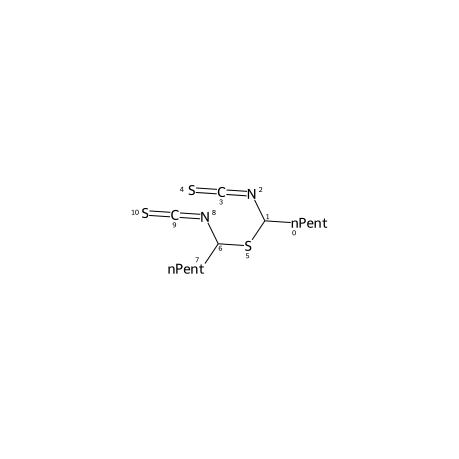 CCCCCC(N=C=S)SC(CCCCC)N=C=S